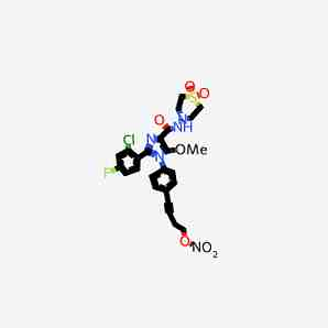 COc1c(C(=O)NN2CCS(=O)(=O)CC2)nc(-c2ccc(F)cc2Cl)n1-c1ccc(C#CCCO[N+](=O)[O-])cc1